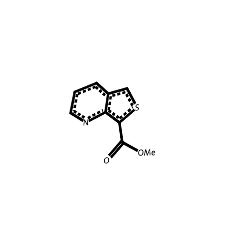 COC(=O)c1scc2cccnc12